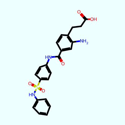 Nc1cc(C(=O)Nc2ccc(S(=O)(=O)Nc3ccccc3)cc2)ccc1CCC(=O)O